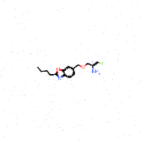 CCCCc1nc2ccc(COC/C(N)=C/F)cc2o1